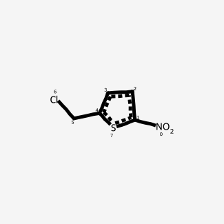 O=[N+]([O-])c1ccc(CCl)s1